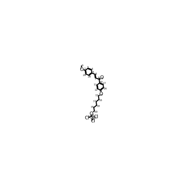 COc1ccc(C=CC(=O)c2ccc(OCCCCCCO[Si](Cl)(Cl)Cl)cc2)cc1